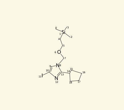 C[Si](C)(C)CCOCn1cc(I)nc1C1CCCC1